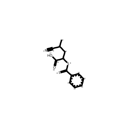 CC(C#N)CC(SC(=S)c1ccccc1)C(=O)O